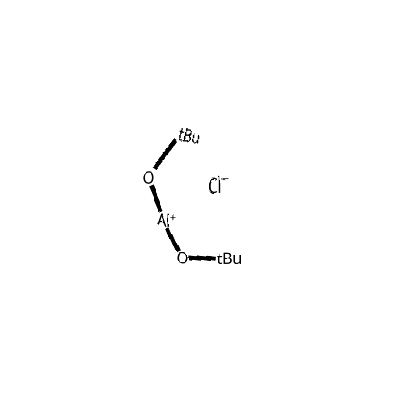 CC(C)(C)[O][Al+][O]C(C)(C)C.[Cl-]